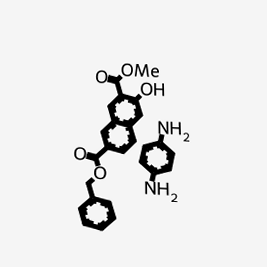 COC(=O)c1cc2cc(C(=O)OCc3ccccc3)ccc2cc1O.Nc1ccc(N)cc1